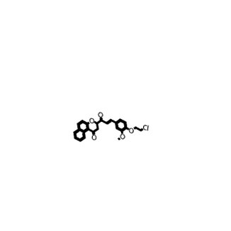 COc1cc(C=CC(=O)C2CC(=O)c3c(ccc4ccccc34)O2)ccc1OCCCl